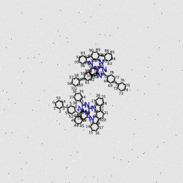 c1ccc(-c2ccc(-c3ccc(-n4c5ccccc5c5ccc6c7ccccc7n(-c7nc(-c8ccccc8)nc(-c8ccccc8)n7)c6c54)cc3)cc2)cc1.c1ccc(-c2ccc(-c3nc(-c4ccc(-c5ccccc5)cc4)nc(-n4c5ccccc5c5ccc6c7ccccc7n(-c7ccccc7)c6c54)n3)cc2)cc1